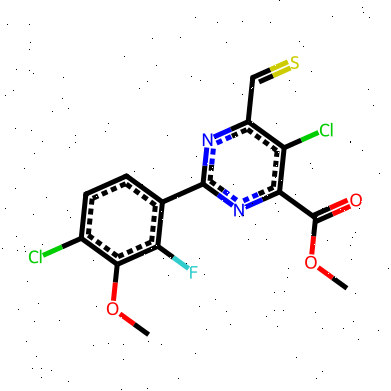 COC(=O)c1nc(-c2ccc(Cl)c(OC)c2F)nc(C=S)c1Cl